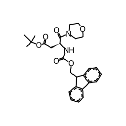 CC(C)(C)OC(=O)C[C@H](NC(=O)OCC1c2ccccc2-c2ccccc21)C(=O)N1CCOCC1